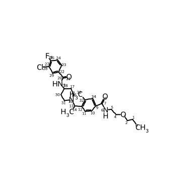 CCCOCCNC(=O)c1ccc(C(C)N2CCC(NC(=O)c3ccc(F)c(Cl)c3)CC2)c(C)c1